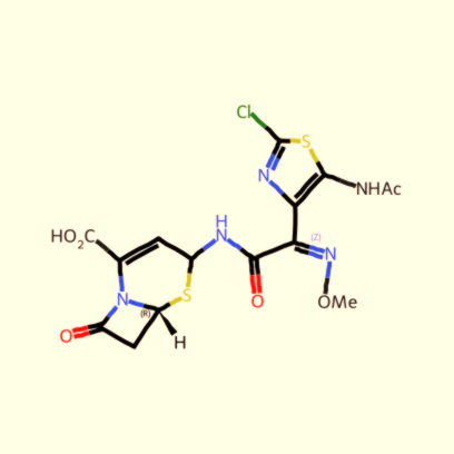 CO/N=C(\C(=O)NC1C=C(C(=O)O)N2C(=O)C[C@H]2S1)c1nc(Cl)sc1NC(C)=O